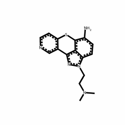 CN(C)CCn1nc2c3c(c(N)ccc31)Sc1ccncc1-2